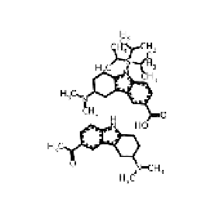 CC(=O)c1ccc2[nH]c3c(c2c1)CC(N(C)C)CC3.CC(C)[Si](C(C)C)(C(C)C)n1c2c(c3cc(C(=O)O)ccc31)CC(N(C)C)CC2